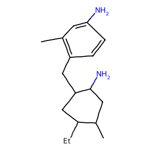 CCC1CC(Cc2ccc(N)cc2C)C(N)CC1C